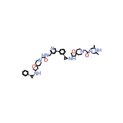 CC1CN(C(=O)CN2CCC3(CC2)CC(N[C@@H]2C[C@H]2c2cccc(-c4cncc(CNC(=O)CN5CCC6(CC5)CC(N[C@@H]5C[C@H]5c5ccccc5)CO6)c4)c2)CO3)CC(C)N1